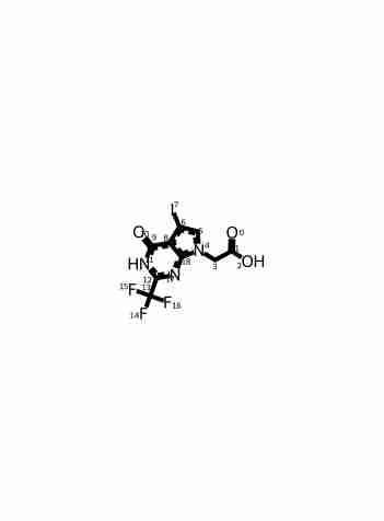 O=C(O)Cn1cc(I)c2c(=O)[nH]c(C(F)(F)F)nc21